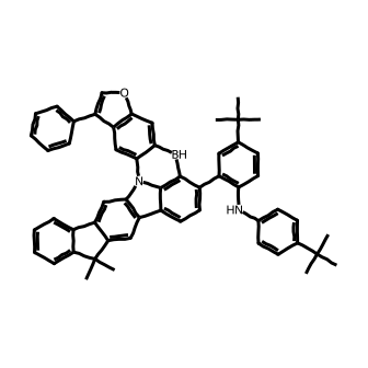 CC(C)(C)c1ccc(Nc2ccc(C(C)(C)C)cc2-c2ccc3c4cc5c(cc4n4c3c2Bc2cc3occ(-c6ccccc6)c3cc2-4)-c2ccccc2C5(C)C)cc1